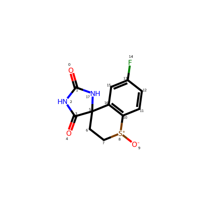 O=C1NC(=O)C2(CC[S+]([O-])c3ccc(F)cc32)N1